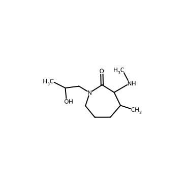 CNC1C(=O)N(CC(C)O)CCCC1C